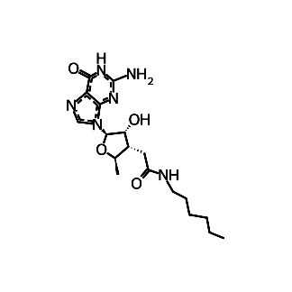 CCCCCCNC(=O)C[C@H]1[C@@H](O)[C@H](n2cnc3c(=O)[nH]c(N)nc32)O[C@@H]1C